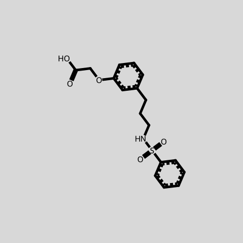 O=C(O)COc1cccc(CCCNS(=O)(=O)c2ccccc2)c1